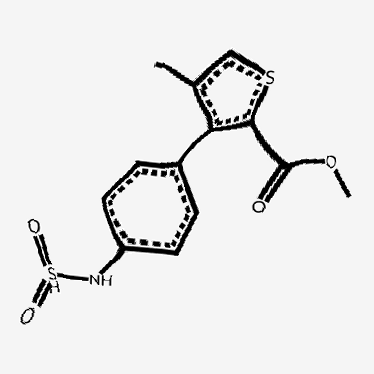 COC(=O)c1scc(C)c1-c1ccc(N[SH](=O)=O)cc1